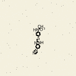 CC(=O)Nc1ccc(SCc2nc3cc(-n4ccnc4)ccc3[nH]2)cc1